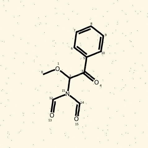 COC(C(=O)c1ccccc1)N(C=O)C=O